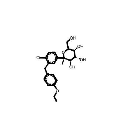 CCOc1ccc(Cc2cc([C@]3(C)OC(CO)[C@@H](O)[C@H](O)[C@H]3O)ccc2Cl)cc1